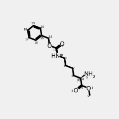 COC(=O)[C@H](N)CCCCNC(=O)OCc1ccccc1